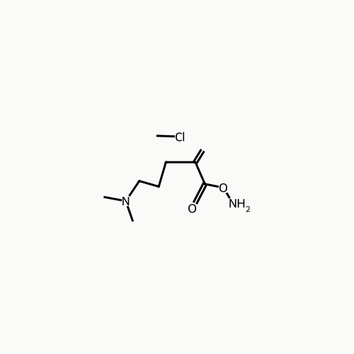 C=C(CCCN(C)C)C(=O)ON.CCl